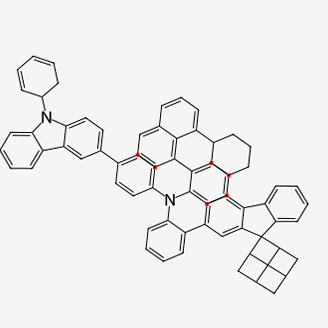 C1=CCC(n2c3ccccc3c3cc(-c4ccc(N(c5ccccc5-c5ccc6c(c5)C5(c7ccccc7-6)C6CC7CC8CC5C786)c5ccccc5-c5cccc6cccc(C7CCCCC7)c56)cc4)ccc32)C=C1